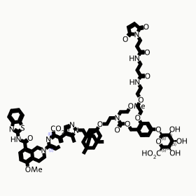 C=C(/C(=N\C(=C/C)N1CCc2c(OC)ccc(C(=O)Nc3nc4ccccc4s3)c2C1)C(=O)O)c1cnn(CC23CC4(C)CC(C)(C2)CC(OCCN(CCOC)C(=O)OCc2ccc(O[C@@H]5O[C@H](C(=O)O)[C@@H](O)[C@H](O)[C@H]5O)cc2OCCOCCNC(=O)CCNC(=O)CCN2C(=O)C=CC2=O)(C4)C3)c1C